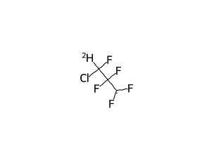 [2H]C(F)(Cl)C(F)(F)[C](F)F